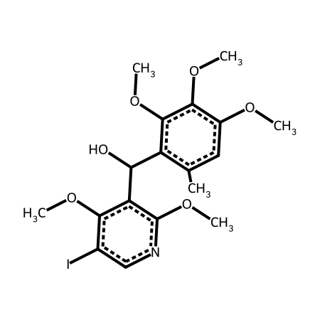 COc1cc(C)c(C(O)c2c(OC)ncc(I)c2OC)c(OC)c1OC